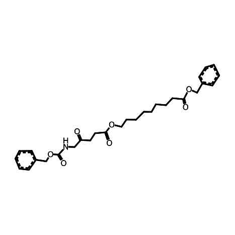 O=C(CCC(=O)OCCCCCCCCC(=O)OCc1ccccc1)CNC(=O)OCc1ccccc1